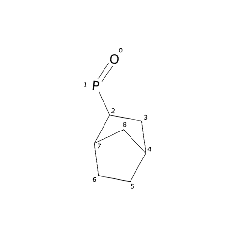 O=PC1CC2CCC1C2